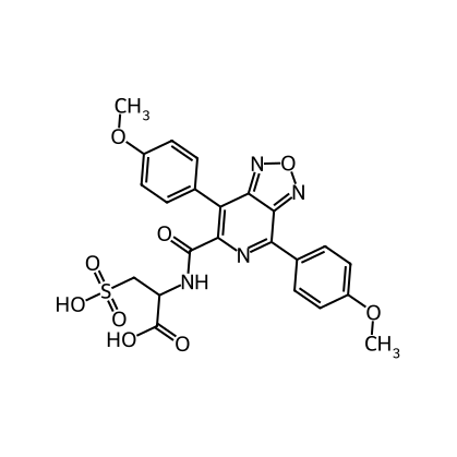 COc1ccc(-c2nc(C(=O)NC(CS(=O)(=O)O)C(=O)O)c(-c3ccc(OC)cc3)c3nonc23)cc1